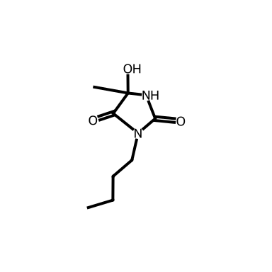 CCCCN1C(=O)NC(C)(O)C1=O